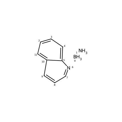 B.N.c1ccc2ncccc2c1